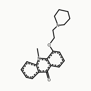 Cn1c2ccccc2c(=O)c2cccc(OCCN3CCCCC3)c21